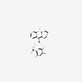 C[n+]1c2ccccc2c(C(=O)[O-])c2ccccc21.N=C(Cl)c1cc(F)c(F)cc1F